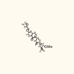 CO[C@@H]1CN(c2ccc(-n3ccc4cc(OC[C@H]5CCCO5)ccc4c3=O)cc2F)C[C@H]1N(C)C